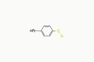 CCCc1ccc(S[S])cc1